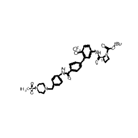 CC(C)(C)OC(=O)N1CC[C@H]1C(=O)Nc1ccc(OC(F)(F)F)c(-c2ccc(C(=O)Nc3ccc(CN4CCN(S(C)(=O)=O)CC4)cc3)cc2)c1